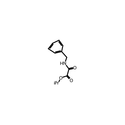 CC(C)OC(=O)C(=O)NCc1ccccc1